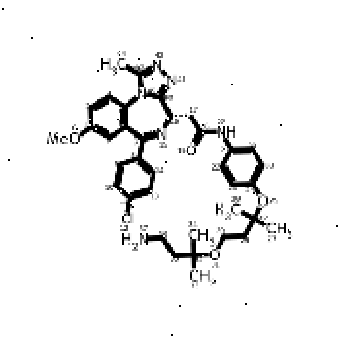 COc1ccc2c(c1)C(c1ccc(Cl)cc1)=N[C@@H](CC(=O)Nc1ccc(OC(C)(C)CCOC(C)(C)CCN)cc1)c1nnc(C)n1-2